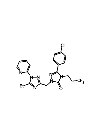 CCc1nc(Cn2nc(-c3ccc(Cl)cc3)n(CCC(F)(F)F)c2=O)nn1-c1ccccn1